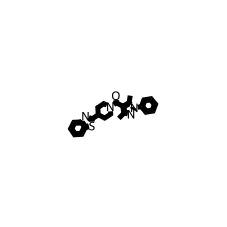 Cc1nn(-c2ccccc2)c(C)c1C(=O)N1CCC(c2nc3ccccc3s2)CC1